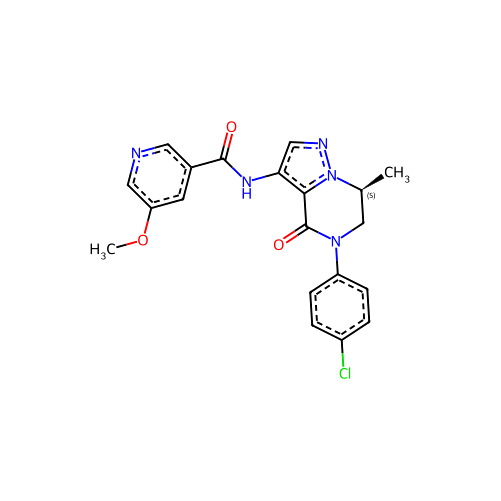 COc1cncc(C(=O)Nc2cnn3c2C(=O)N(c2ccc(Cl)cc2)C[C@@H]3C)c1